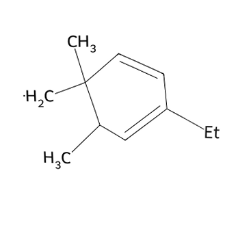 [CH2]C1(C)C=CC(CC)=CC1C